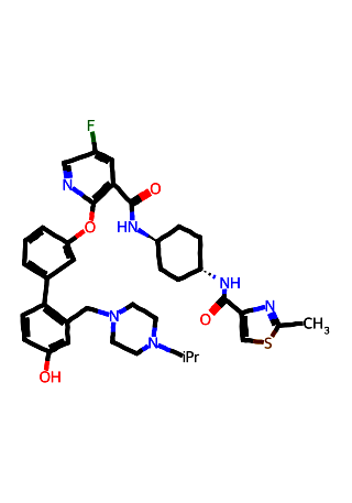 Cc1nc(C(=O)N[C@H]2CC[C@H](NC(=O)c3cc(F)cnc3Oc3cccc(-c4ccc(O)cc4CN4CCN(C(C)C)CC4)c3)CC2)cs1